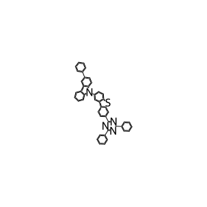 c1ccc(-c2ccc3c(c2)c2ccccc2n3-c2ccc3sc4cc(-c5nc(-c6ccccc6)nc(-c6ccccc6)n5)ccc4c3c2)cc1